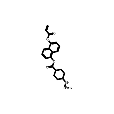 C=CC(=O)Oc1cccc2c(OC(=O)C3CCC(NCCCCC)CC3)cccc12